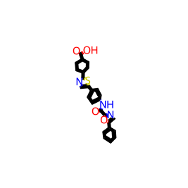 O=C(Nc1ccc(-c2cnc(C3CCC(C(=O)O)CC3)s2)cc1)c1ncc(-c2ccccc2)o1